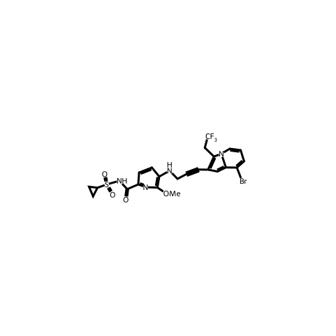 COc1nc(C(=O)NS(=O)(=O)C2CC2)ccc1NCC#Cc1cc2c(Br)cccn2c1CC(F)(F)F